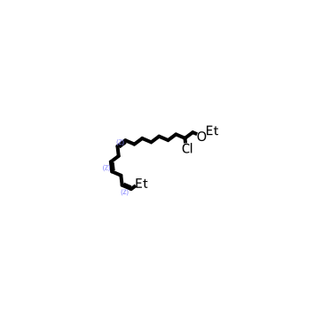 CC/C=C\C/C=C\C/C=C\CCCCCCC(Cl)COCC